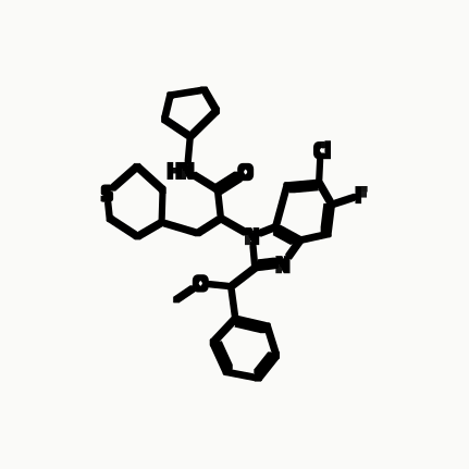 COC(c1ccccc1)c1nc2cc(F)c(Cl)cc2n1C(CC1CCSCC1)C(=O)NC1CCCC1